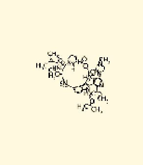 CCO[C@@H]1C2=NC(CS2)c2ccc3c(c2)c(c(-c2cc(N4CCN(C)CC4)cnc2[C@H](C)OC)n3CCOC(C)C)CC(C)(C)COC(=O)[C@@H]2CCCN(N2)C(=O)[C@H]1NC(=O)[C@H]1[C@H](C)[C@@H]1C